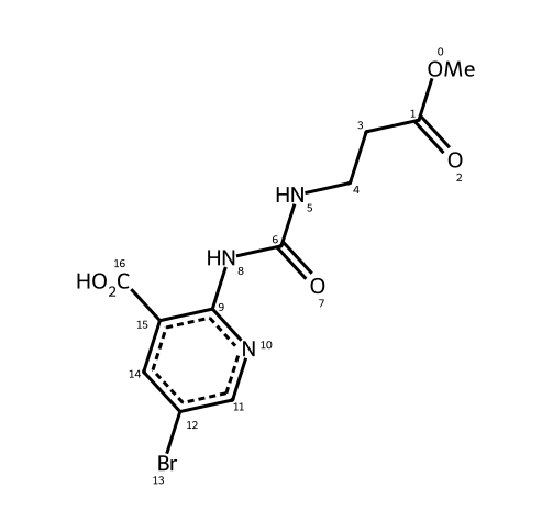 COC(=O)CCNC(=O)Nc1ncc(Br)cc1C(=O)O